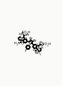 CC(C)[C@H](NC(=O)O)C(=O)N1CCC[C@@]1(C(N)=O)c1ccc(-c2c(Br)c(Br)c(-c3ccc([C@]4(C(N)=O)CCCN4C(=O)[C@@H](NC(=O)O)C(C)C)cc3)n2-c2ccc(F)cc2)cc1